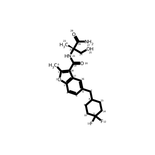 Cc1oc2ccc(CC3CCC(F)(F)CC3)cc2c1C(=O)N[C@@](C)(CO)C(N)=O